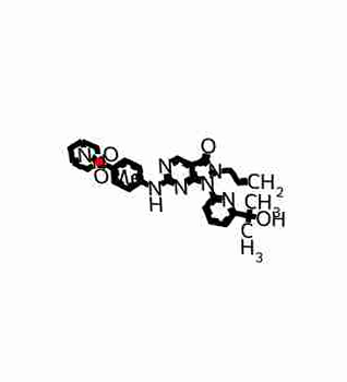 C=CCn1c(=O)c2cnc(Nc3ccc(N4CC5CC(C4)N5C(=O)OC)cc3)nc2n1-c1cccc(C(C)(C)O)n1